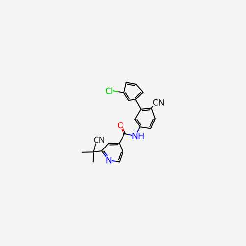 CC(C)(C#N)c1cc(C(=O)Nc2ccc(C#N)c(-c3cccc(Cl)c3)c2)ccn1